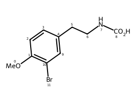 COc1ccc(CCNC(=O)O)cc1Br